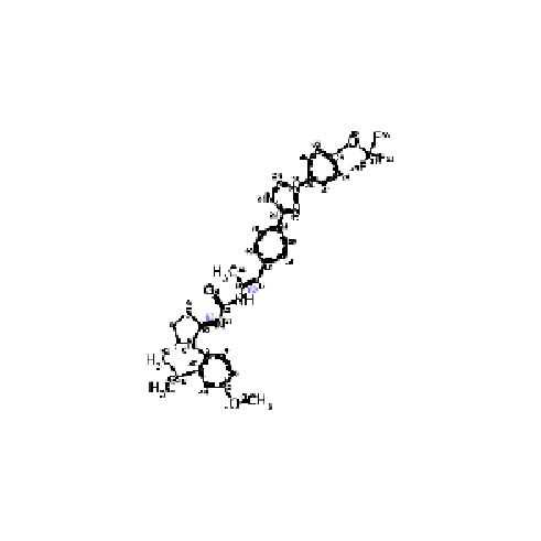 COc1ccc(N2CCS/C2=N\C(=O)N/C(C)=C/c2ccc(-c3ncn(-c4ccc(OC(F)(F)F)cc4)n3)cc2)c(C(C)C)c1